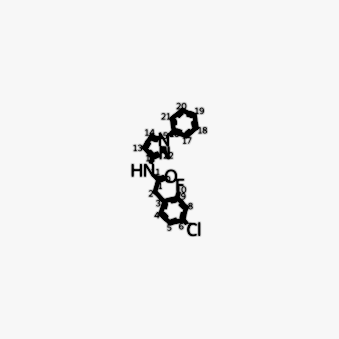 O=C(Cc1ccc(Cl)cc1F)Nc1ccn(-c2ccccc2)n1